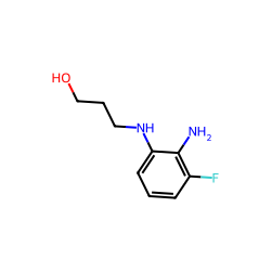 Nc1c(F)cccc1NCCCO